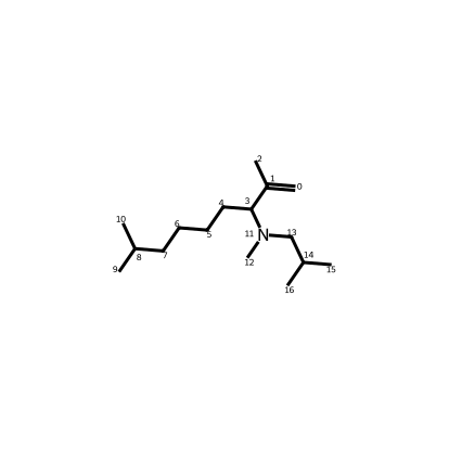 C=C(C)C(CCCCC(C)C)N(C)CC(C)C